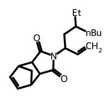 C=CC(CC(CC)CCCC)N1C(=O)C2C3C=CC(C3)C2C1=O